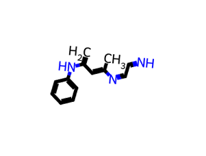 C=C(/C=C(C)/N=C\C=N)Nc1ccccc1